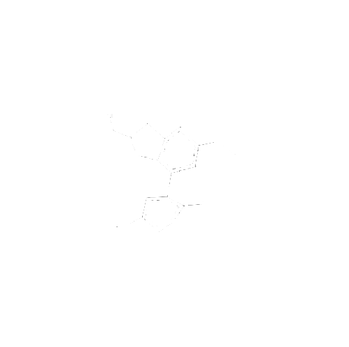 COc1cc2c(c(-c3cc(C)ccc3C)c1)OC(CN)C2